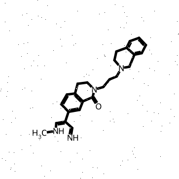 CN/C=C(\C=N)c1ccc2c(c1)C(=O)N(CCCN1CCc3ccccc3C1)CC2